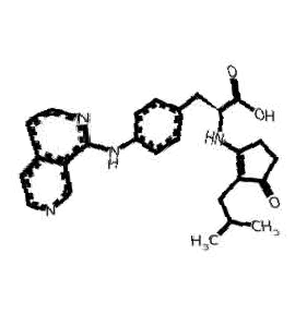 CC(C)CC1=C(N[C@@H](Cc2ccc(Nc3nccc4ccncc34)cc2)C(=O)O)CCC1=O